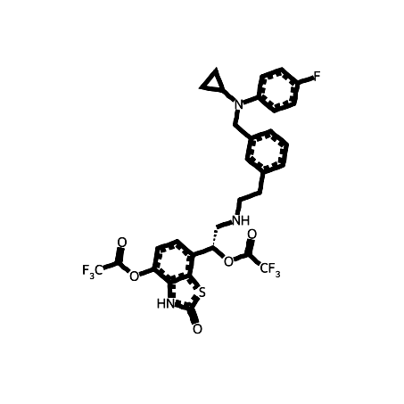 O=C(Oc1ccc([C@H](CNCCc2cccc(CN(c3ccc(F)cc3)C3CC3)c2)OC(=O)C(F)(F)F)c2sc(=O)[nH]c12)C(F)(F)F